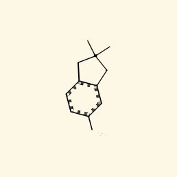 COc1ccc2c(c1)[C]C(C)(C)C2